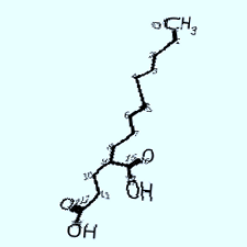 CCCCCCCCCC(CCC(=O)O)C(=O)O